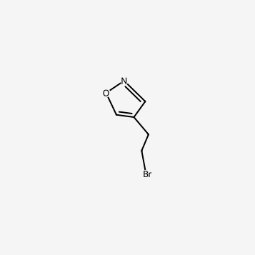 BrCCc1cnoc1